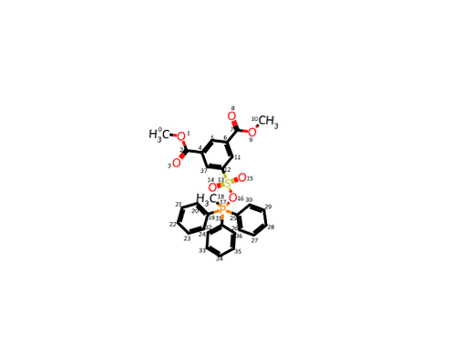 COC(=O)c1cc(C(=O)OC)cc(S(=O)(=O)OP(C)(c2ccccc2)(c2ccccc2)c2ccccc2)c1